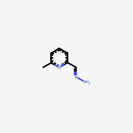 Cc1cccc(C=NN)n1